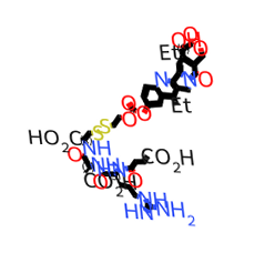 CCc1c2c(nc3ccc(OC(=O)OCCSSC[C@H](NC(=O)[C@H](CC(=O)O)NC(=O)[C@H](CCCNC(=N)N)NC(=O)CCC(=O)O)C(=O)O)cc13)-c1cc3c(c(=O)n1C2)COC(=O)[C@]3(O)CC